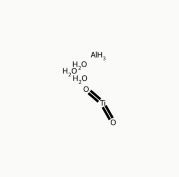 O.O.O.[AlH3].[O]=[Ti]=[O]